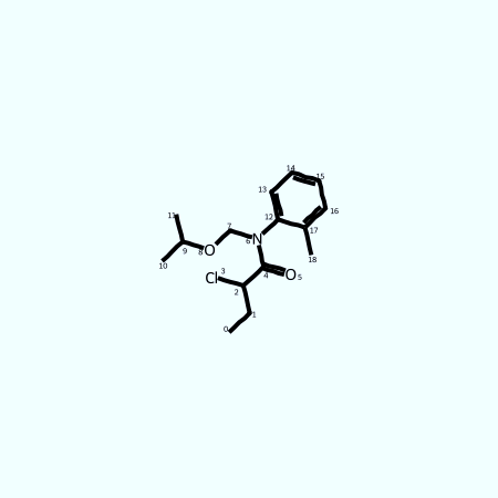 CCC(Cl)C(=O)N(COC(C)C)c1ccccc1C